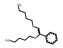 CCCCCO[C]=C(OCCCCC)c1ccccc1